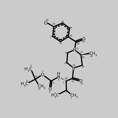 CC(C)[C@H](NC(=O)OC(C)(C)C)C(=O)N1CCN(C(=O)c2ccc(Cl)cc2)[C@@H](C)C1